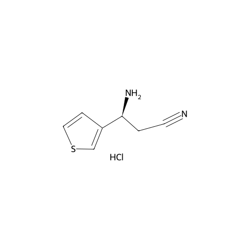 Cl.N#CC[C@H](N)c1ccsc1